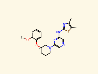 CCOc1ccccc1O[C@@H]1CCCN(c2cncc(Nc3nc(C)c(C)s3)n2)C1